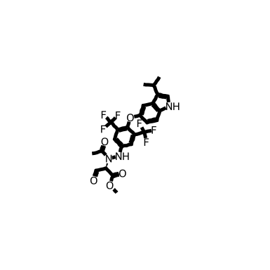 COC(=O)[C@H](C=O)N(Nc1cc(C(F)(F)F)c(Oc2ccc3[nH]cc(C(C)C)c3c2)c(C(F)(F)F)c1)C(C)=O